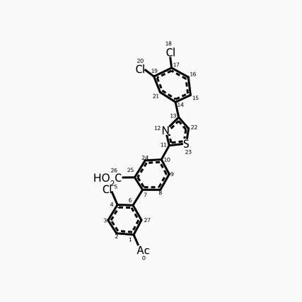 CC(=O)c1ccc(Cl)c(-c2ccc(-c3nc(-c4ccc(Cl)c(Cl)c4)cs3)cc2C(=O)O)c1